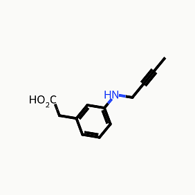 CC#CCNc1cccc(CC(=O)O)c1